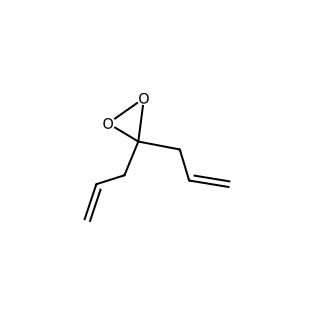 C=CCC1(CC=C)OO1